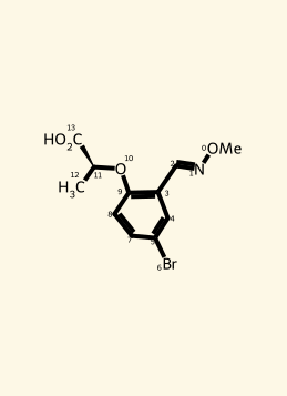 CO/N=C/c1cc(Br)ccc1O[C@@H](C)C(=O)O